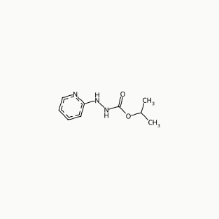 CC(C)OC(=O)NNc1ccccn1